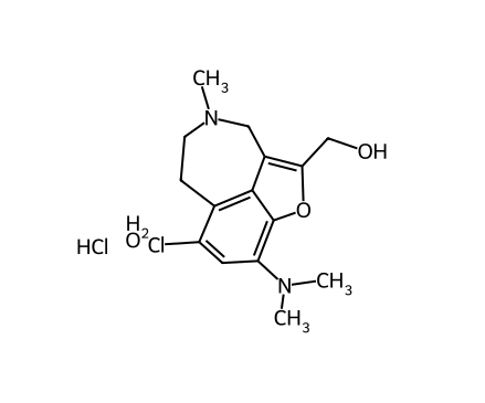 CN1CCc2c(Cl)cc(N(C)C)c3oc(CO)c(c23)C1.Cl.O